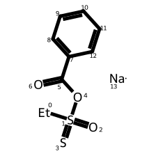 CCS(=O)(=S)OC(=O)c1ccccc1.[Na]